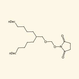 CCCCCCCCCCCCCCC(CCCCCCCCCCCCCC)COCON1C(=O)CCC1=O